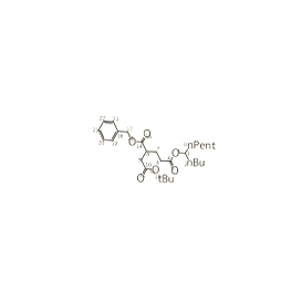 CCCCCC(CCCC)OC(=O)CCC(CC(=O)OC(C)(C)C)C(=O)OCc1ccccc1